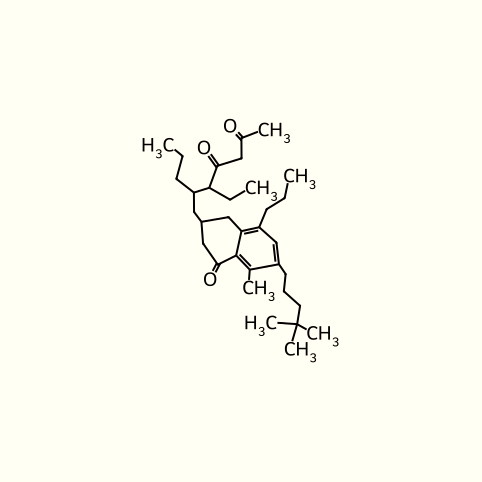 CCCc1cc(CCCC(C)(C)C)c(C)c2c1CC(CC(CCC)C(CC)C(=O)CC(C)=O)CC2=O